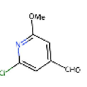 COc1cc(C=O)cc(Cl)n1